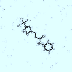 O=C(CCc1noc(C(F)(F)F)n1)Nc1cnccn1